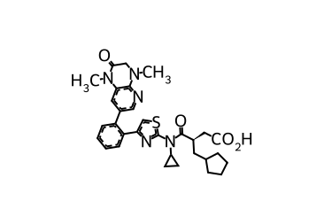 CN1CC(=O)N(C)c2cc(-c3ccccc3-c3csc(N(C(=O)[C@@H](CC(=O)O)CC4CCCC4)C4CC4)n3)cnc21